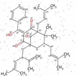 C=C(C)C(C=C(C)C)CC12CC(CC=C(C)C)C(C)(C)C(CC=C(C)C)(C(=O)C(=C(O)c3ccccc3)C1=O)C2=O